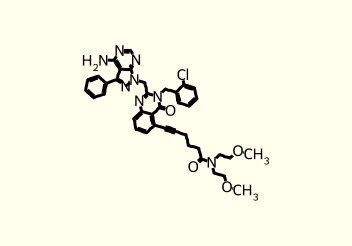 COCCN(CCOC)C(=O)CCCC#Cc1cccc2nc(Cn3nc(-c4ccccc4)c4c(N)ncnc43)n(Cc3ccccc3Cl)c(=O)c12